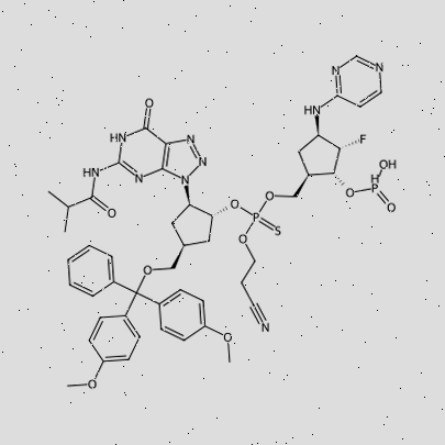 COc1ccc(C(OC[C@H]2C[C@@H](n3nnc4c(=O)[nH]c(NC(=O)C(C)C)nc43)[C@H](OP(=S)(OCCC#N)OC[C@H]3C[C@@H](Nc4ccncn4)[C@H](F)[C@@H]3O[PH](=O)O)C2)(c2ccccc2)c2ccc(OC)cc2)cc1